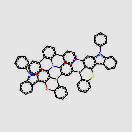 c1ccc(-c2cccc(-c3ccccc3)c2N2c3cc4c(cc3B3c5ccccc5Oc5c3c2cc2c5c3ccccc3n2-c2ccccc2)B2c3ccccc3Sc3c2c(cc2c3c3ccccc3n2-c2ccccc2)N4)cc1